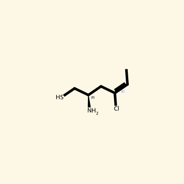 C/C=C(/Cl)C[C@@H](N)CS